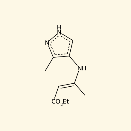 CCOC(=O)C=C(C)Nc1c[nH]nc1C